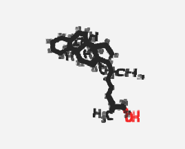 CC(=CCC[C@@H](C)[C@H]1CC[C@H]2[C@@H]3CC=C4CCCC[C@]4(C)[C@H]3CC[C@]12C)CO